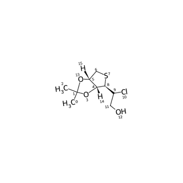 CC1(C)O[C@@H]2[C@@H](CS[C@H]2C(Cl)CO)O1